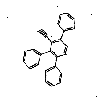 C#Cc1c(-c2ccccc2)c[c]c(-c2ccccc2)c1-c1ccccc1